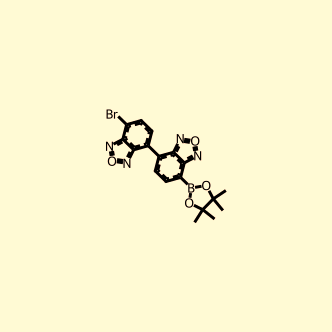 CC1(C)OB(c2ccc(-c3ccc(Br)c4nonc34)c3nonc23)OC1(C)C